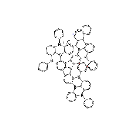 C=CC1=C(/C=C\C)N(c2ccccc2)c2cccc3c2B1c1cc2c4c5c(cc6c7ccc8c(c7n(c2cc1N3c1ccccc1)c64)N(c1ccccc1)c1cccc2c1B8c1ccccc1N2c1ccccc1)N(c1ccccc1)c1cccc2c1B5c1ccccc1N2c1ccccc1